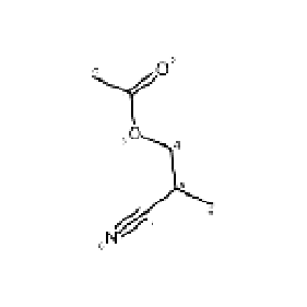 CC(=O)OCC(C)C#N